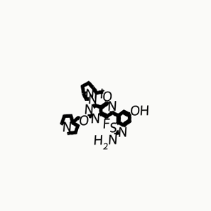 Nc1nc2cc(O)cc(-c3nc4c5c(nc(OCC67CCCN6CCC7)nc5c3F)N3CC5CCC(N5)C3CO4)c2s1